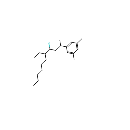 CCCCCCC(CC)C(F)CC(C)c1cc(C)[c]c(C)c1